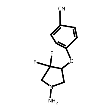 N#Cc1ccc(OC2CN(N)CC2(F)F)cc1